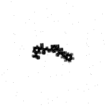 CC(=O)c1cccc(NC(=O)CSc2n[nH]c(NC(=S)NCc3ccccc3)n2)c1